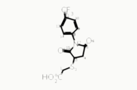 O=C(O)CSC1CC(=O)N(c2ccc(C(F)(F)F)cc2)C1=O